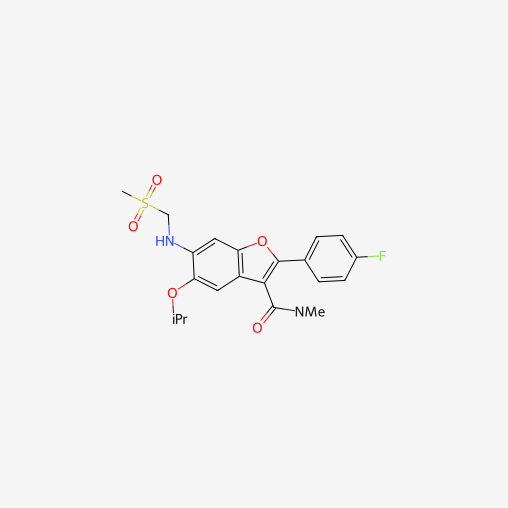 CNC(=O)c1c(-c2ccc(F)cc2)oc2cc(NCS(C)(=O)=O)c(OC(C)C)cc12